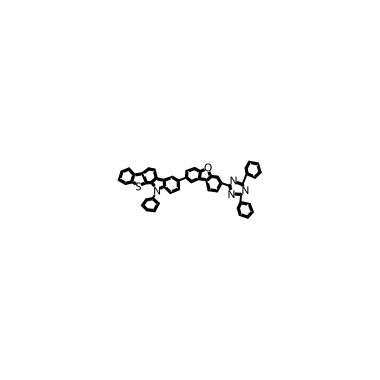 c1ccc(-c2nc(-c3ccccc3)nc(-c3ccc4c(c3)oc3ccc(-c5ccc6c(c5)c5ccc7c8ccccc8sc7c5n6-c5ccccc5)cc34)n2)cc1